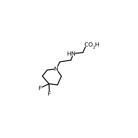 O=C(O)CNCCN1CCC(F)(F)CC1